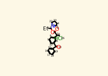 CCC(OC(=O)C(C)c1cccc(C(=O)c2ccccc2)c1)N1CCCC1.Cl